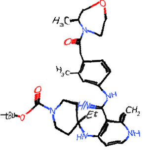 C=C1NC=CC(NC2(CC)CCN(C(=O)OC(C)(C)C)CC2)=C1C(=N)Nc1ccc(C(=O)N2CCOCC2C)c(C)c1